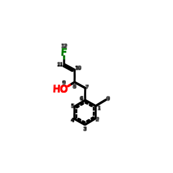 Cc1ccccc1CC(O)C=CF